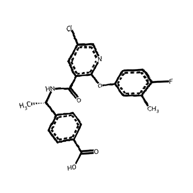 Cc1cc(Oc2ncc(Cl)cc2C(=O)N[C@@H](C)c2ccc(C(=O)O)cc2)ccc1F